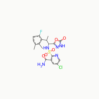 Cc1ccc(F)c(C(C)C(NS(=O)(=O)c2ncc(Cl)cc2C(N)=O)c2n[nH]c(=O)o2)c1C